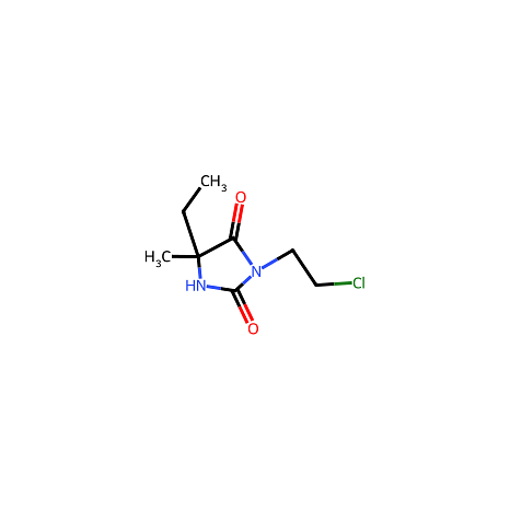 CCC1(C)NC(=O)N(CCCl)C1=O